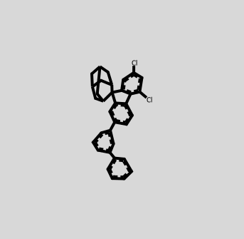 Clc1cc(Cl)c2c(c1)C1(c3cc(-c4cccc(-c5ccccc5)c4)ccc3-2)C2CC3CC(C2)CC1C3